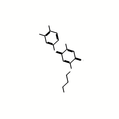 CCCCOC1=C/C(=N/c2ccc(O)c(C)c2)C(N)=CC1=N